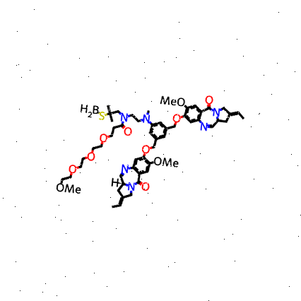 BSC(C)(C)CN(CCN(C)c1cc(COc2cc3c(cc2OC)C(=O)N2C/C(=C/C)CC2C=N3)cc(COc2cc3c(cc2OC)C(=O)N2C/C(=C/C)C[C@H]2C=N3)c1)C(=O)CCOCCOCCOCCOC